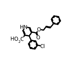 O=C(O)C1=CNC=C(C(=O)OC/C=C/c2ccccc2)C1c1cccc(Cl)c1